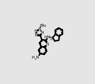 CC(C)(C)n1nnc(-c2cc3cc(N)ccc3nc2N[C@@H]2CCc3ccccc32)n1